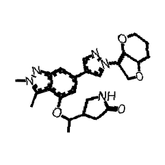 Cc1c2c(OC(C)C3CNC(=O)C3)cc(-c3cnn(C4COC5CCCOC54)c3)cc2nn1C